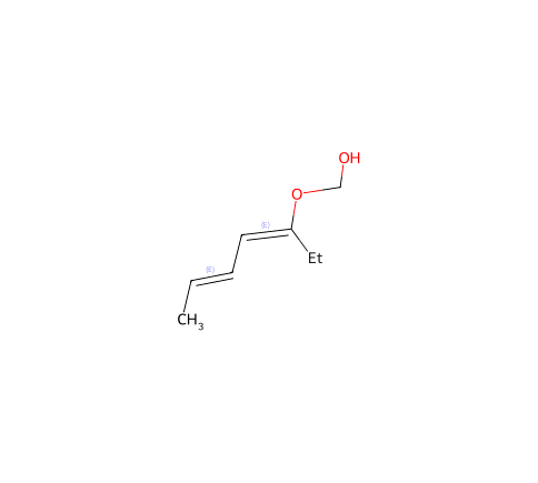 C/C=C/C=C(\CC)OCO